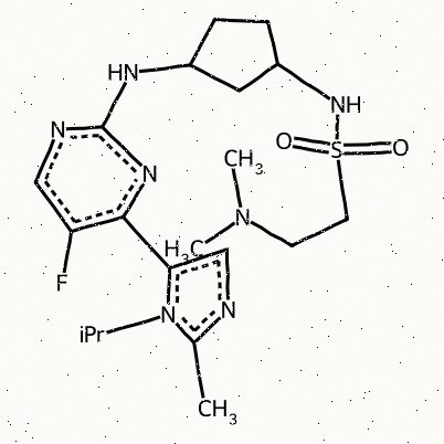 Cc1ncc(-c2nc(NC3CCC(NS(=O)(=O)CCN(C)C)C3)ncc2F)n1C(C)C